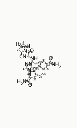 N#CC1C[C@@H]2C[C@@H]2N1C(=O)CNCCC1(c2nnc[nH]2)c2ccc(C(N)=O)cc2CCc2cc(C(N)=O)ccc21